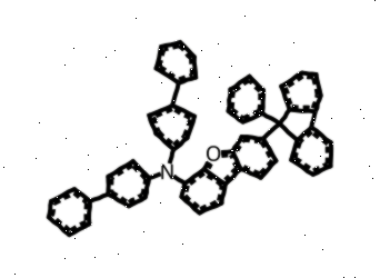 c1ccc(-c2ccc(N(c3ccc(-c4ccccc4)cc3)c3cccc4c3oc3cc(C5(c6ccccc6)c6ccccc6-c6ccccc65)ccc34)cc2)cc1